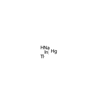 [Hg].[In].[NaH].[Tl]